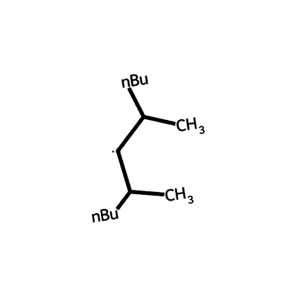 CCCCC(C)[CH]C(C)CCCC